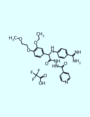 CCOc1cc(C(Nc2ccc(C(=N)N)cc2)C(=O)NNC(=O)c2ccncc2)ccc1OCCOC.O=C(O)C(F)(F)F